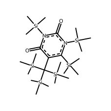 C[Si](C)(C)c1c(C([Si](C)(C)C)([Si](C)(C)C)[Si](C)(C)C)c(=O)n([Si](C)(C)C)c(=O)n1[Si](C)(C)C